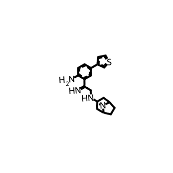 CN1C2CCC1CC(NCC(=N)c1cc(-c3ccsc3)ccc1N)C2